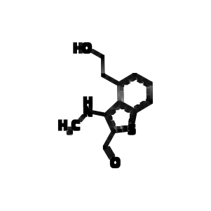 CNc1c(C=O)sc2cccc(CCO)c12